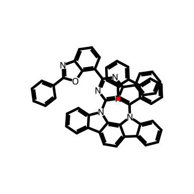 c1ccc(-c2nc(-c3cccc4nc(-c5ccccc5)oc34)nc(-n3c4ccccc4c4ccc5c6ccccc6n(-c6cc7ccccc7c7ccccc67)c5c43)n2)cc1